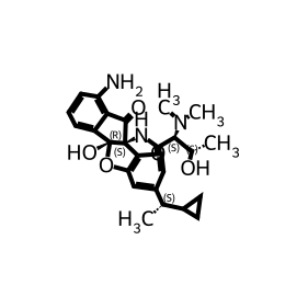 C[C@H](c1ccc2c(c1)O[C@]1(O)c3cccc(N)c3C(=O)[C@]21NC(=O)[C@H]([C@H](C)O)N(C)C)C1CC1